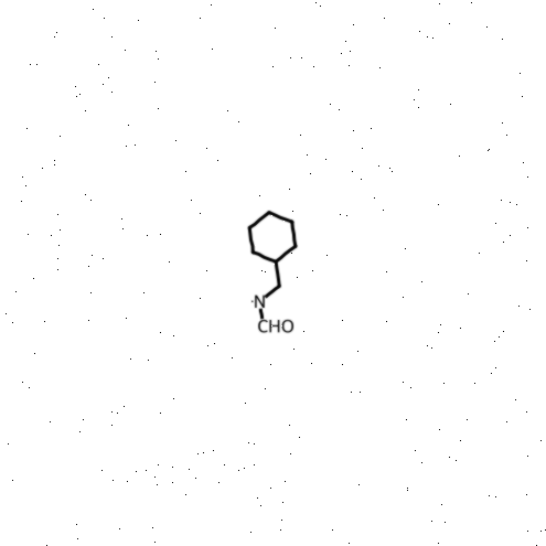 O=C[N]CC1CCCCC1